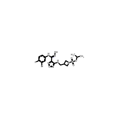 CC(C)OS(=O)(=O)N1CC(CNc2nonc2/C(=N/O)Nc2ccc(F)c(Br)c2)C1